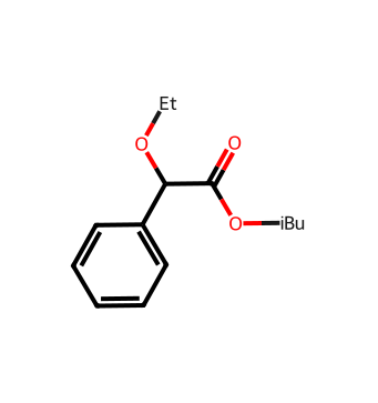 CCOC(C(=O)OC(C)CC)c1ccccc1